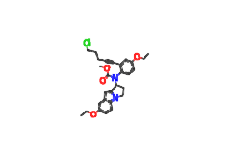 CCOc1ccc(N(C(=O)OC)C2CCn3c2cc2cc(OCC)ccc23)c(C#CCCCCl)c1